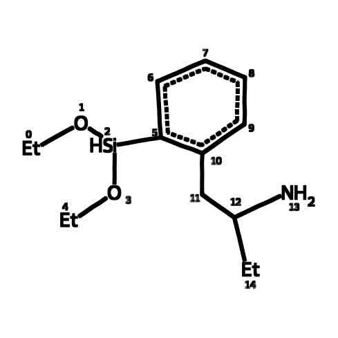 CCO[SiH](OCC)c1ccccc1CC(N)CC